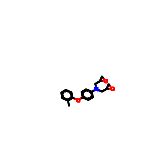 Cc1ccccc1Oc1ccc(N(CC2CO2)CC2CO2)cc1